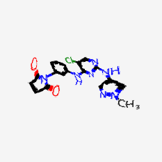 Cn1cc(Nc2ncc(Cl)c(Nc3cccc(N4C(=O)C=CC4=O)c3)n2)cn1